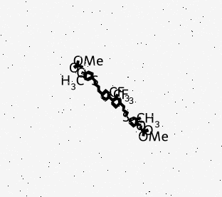 COC(=O)COc1ccc(SCCCc2ccc(-c3ccc(CCCSc4ccc(OCC(=O)OC)c(C)c4)cc3C(F)(F)F)c(C(F)(F)F)c2)cc1C